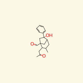 CC(=O)CC1C(C)CC2CC1(C=O)CC2(O)c1ccccc1